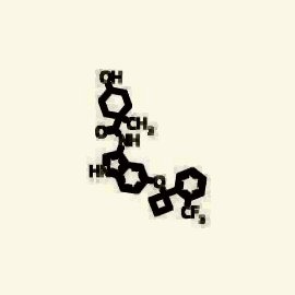 CC1(C(=O)Nc2c[nH]c3ccc(OC4(c5ccccc5C(F)(F)F)CCC4)cc23)CCC(O)CC1